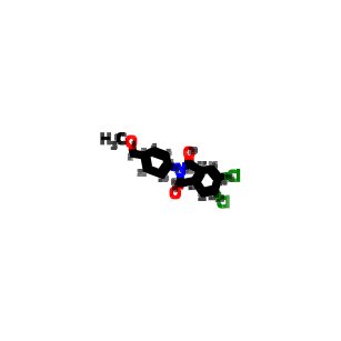 COCc1ccc(N2C(=O)c3cc(Cl)c(Cl)cc3C2=O)cc1